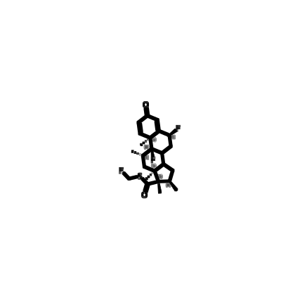 C[C@@H]1CC2C3C[C@H](F)C4=CC(=O)C=C[C@]4(C)[C@@]3(F)[C@@H](C)C[C@]2(C)[C@@]1(C)C(=O)SCF